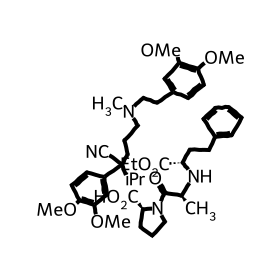 CCOC(=O)[C@H](CCc1ccccc1)N[C@@H](C)C(=O)N1CCC[C@H]1C(=O)O.COc1ccc(CCN(C)CCCC(C#N)(c2ccc(OC)c(OC)c2)C(C)C)cc1OC